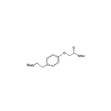 CNCCc1ccc(OCC(=O)NC)cc1